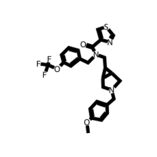 COc1ccc(CN2CC3C(C2)C3CN(Cc2cccc(OC(F)(F)F)c2)C(=O)c2cscn2)cc1